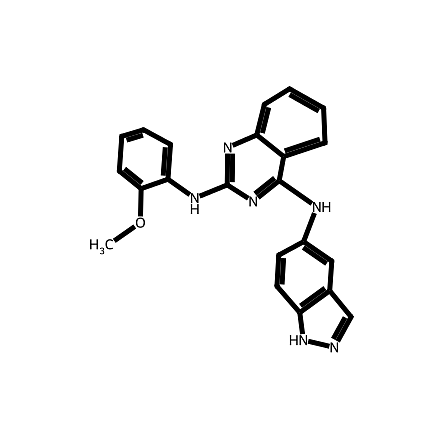 COc1ccccc1Nc1nc(Nc2ccc3[nH]ncc3c2)c2ccccc2n1